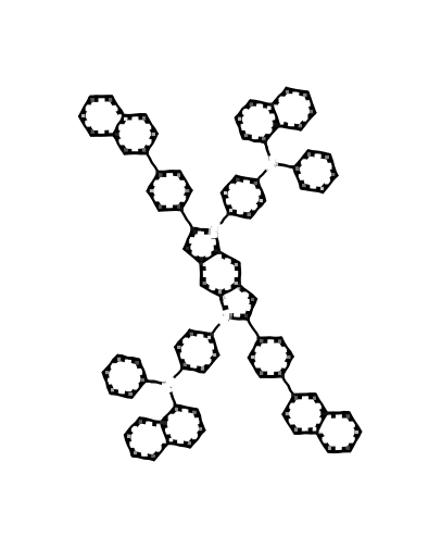 c1ccc(N(c2ccc(-n3c(-c4ccc(-c5ccc6ccccc6c5)cc4)cc4cc5c(cc(-c6ccc(-c7ccc8ccccc8c7)cc6)n5-c5ccc(N(c6ccccc6)c6cccc7ccccc67)cc5)cc43)cc2)c2cccc3ccccc23)cc1